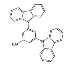 CC(C)(C)c1cc(-n2c3ccccc3c3ccccc32)cc(-n2c3ccccc3c3ccccc32)c1